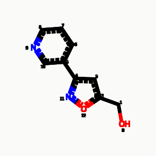 OCc1cc(-c2cccnc2)no1